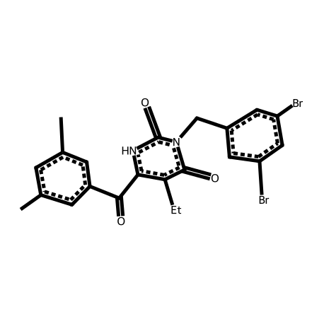 CCc1c(C(=O)c2cc(C)cc(C)c2)[nH]c(=O)n(Cc2cc(Br)cc(Br)c2)c1=O